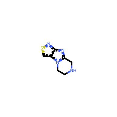 c1snc2nc3n(c12)CCNC3